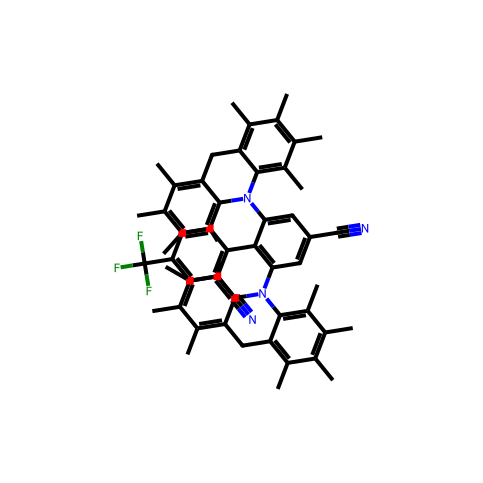 Cc1c(C)c(C)c2c(c1C)Cc1c(C)c(C)c(C)c(C)c1N2c1cc(C#N)cc(N2c3c(C)c(C)c(C)c(C)c3Cc3c(C)c(C)c(C)c(C)c32)c1-c1ccc(C(F)(F)F)cc1C#N